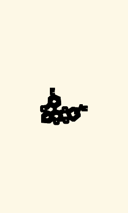 CC(=O)N1CCCC(Oc2c(-c3ccc(F)cc3Cl)c3ccccc3oc2=O)C1